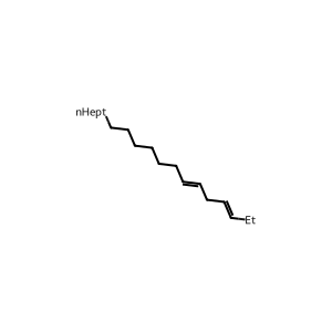 CCC=CCC=CCCCCCCCCCCCCC